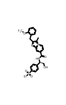 CCS(=O)(=O)c1ccc([C@H](CO)NC(=O)c2ccn3c(C)c(Cc4ccccc4OC(F)(F)F)nc3c2)cc1